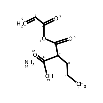 C=CC(=O)OC(=O)C(CCC)C(=O)O.N